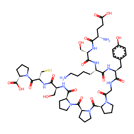 NCCCC[C@H](NC(=O)[C@H](CO)NC(=O)[C@@H](N)CCC(=O)O)C(=O)N[C@@H](Cc1ccc(O)cc1)C(=O)NCC(=O)N1CCC[C@H]1C(=O)N1CCC[C@H]1C(=O)N1CCC[C@H]1C(=O)N[C@@H](CO)C(=O)N[C@@H](CS)C(=O)N1CCC[C@H]1C(=O)O